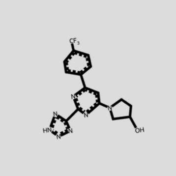 OC1CCN(c2cc(-c3ccc(C(F)(F)F)cc3)nc(-c3nn[nH]n3)n2)C1